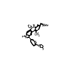 CNCc1cc(C)c(-c2cc3c(-c4ccc(N5CCC(F)C5)nc4)n[nH]c3cc2C#N)c(F)c1